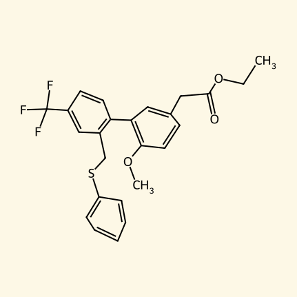 CCOC(=O)Cc1ccc(OC)c(-c2ccc(C(F)(F)F)cc2CSc2ccccc2)c1